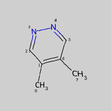 Cc1[c]nncc1C